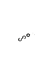 CCC[C@H]1CC[C@H]([C@H]2CC[C@H](c3ccc(C#N)cc3)CC2)CC1